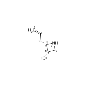 C=CC[C@@H]1NC[C@@H]1O